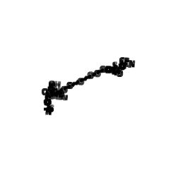 Cc1ncsc1-c1ccc(CNC(=O)[C@@H]2C[C@@H](O)CN2C(=O)C(NC(=O)COCCOCCCCOCCCCOCCOCCOc2ccc(N3C(=S)N(c4ccc(C#N)c(C(F)(F)F)c4)C(=O)C3(C)C)cc2)C(C)(C)C)cc1